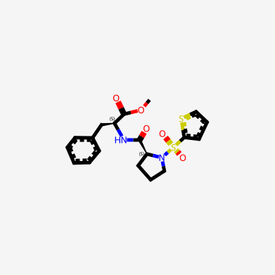 COC(=O)[C@H](Cc1ccccc1)NC(=O)[C@@H]1CCCN1S(=O)(=O)c1cccs1